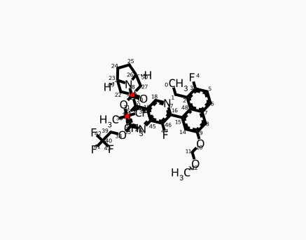 CCc1c(F)ccc2cc(OCOC)cc(-c3ncc4c(N5C[C@H]6CC[C@@H](C5)N6C(=O)OC(C)(C)C)nc(OCC(F)(F)F)nc4c3F)c12